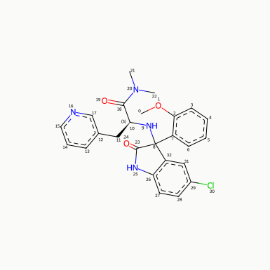 COc1ccccc1C1(N[C@@H](Cc2cccnc2)C(=O)N(C)C)C(=O)Nc2ccc(Cl)cc21